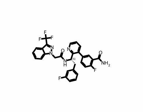 NC(=O)c1cc(-c2cccnc2[C@H](Cc2cccc(F)c2)NC(=O)Cn2nc(C(F)(F)F)c3ccccc32)ccc1F